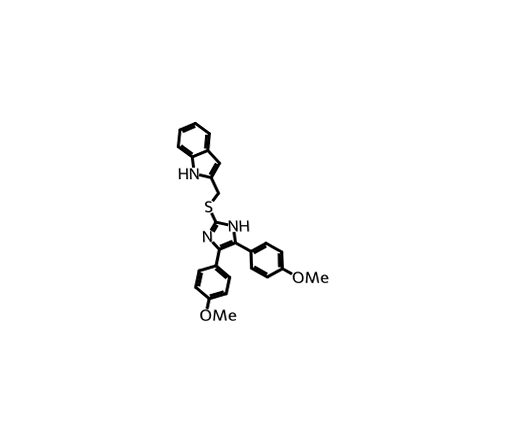 COc1ccc(-c2nc(SCc3cc4ccccc4[nH]3)[nH]c2-c2ccc(OC)cc2)cc1